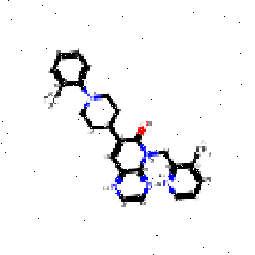 O=c1c(C2CCN(c3ccccc3C(F)(F)F)CC2)cc2nccnc2n1Cc1ncccc1C(F)(F)F